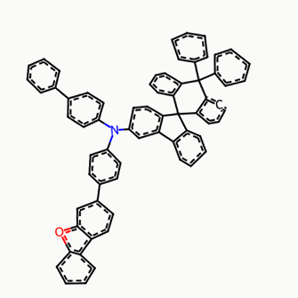 c1ccc(-c2ccc(N(c3ccc(-c4ccc5c(c4)oc4ccccc45)cc3)c3ccc4c(c3)-c3ccccc3C43c4ccccc4C(c4ccccc4)(c4ccccc4)c4ccccc43)cc2)cc1